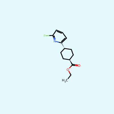 CCOC(=O)[C@H]1CC[C@H](c2cccc(F)n2)CC1